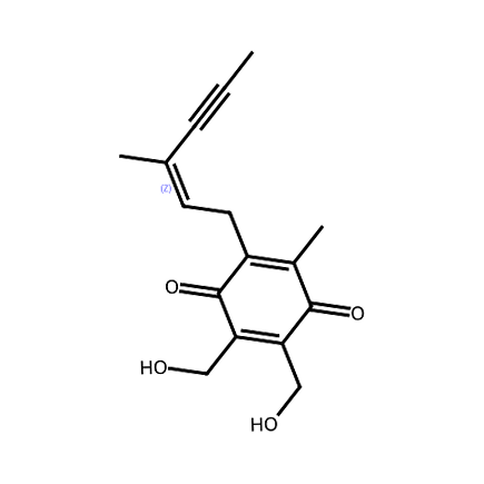 CC#C/C(C)=C\CC1=C(C)C(=O)C(CO)=C(CO)C1=O